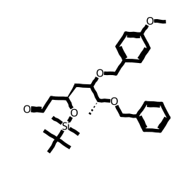 COc1ccc(COC(C[C@H](CC=O)O[Si](C)(C)C(C)(C)C)[C@@H](C)OCc2ccccc2)cc1